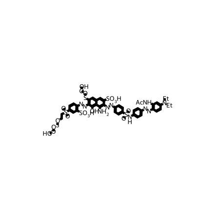 CCN(CC)c1ccc(/N=N/c2ccc(NS(=O)(=O)c3ccc(/N=N/c4c(S(=O)(=O)O)cc5cc(SOOO)c(/N=N/c6ccc(S(=O)(=O)CCOSOOO)cc6S(=O)(=O)O)c(O)c5c4N)cc3)cc2)c(NC(C)=O)c1